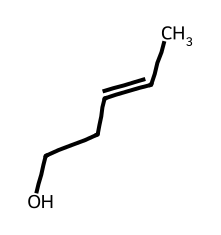 CC=CCCO